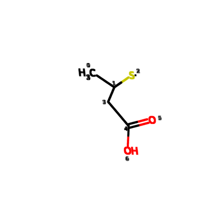 CC([S])CC(=O)O